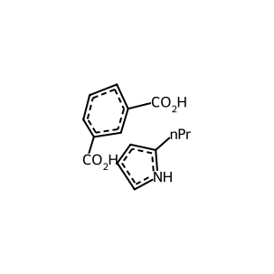 CCCc1ccc[nH]1.O=C(O)c1cccc(C(=O)O)c1